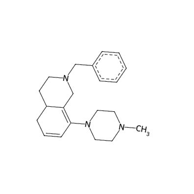 CN1CCN(C2=C3CN(Cc4ccccc4)CCC3CC=C2)CC1